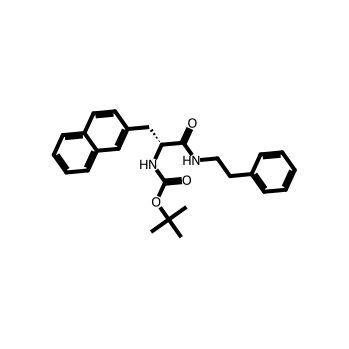 CC(C)(C)OC(=O)N[C@H](Cc1ccc2ccccc2c1)C(=O)NCCc1ccccc1